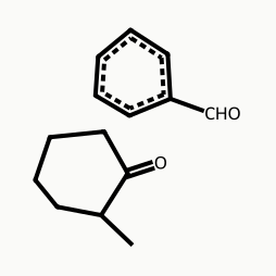 CC1CCCCC1=O.O=Cc1ccccc1